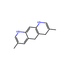 CC1=CNC2=CC3=C(CC(C)=CN3)CC2=C1